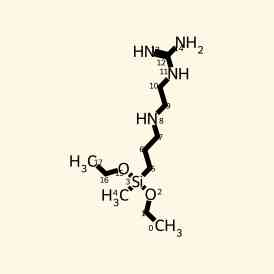 CCO[Si](C)(CCCNCCNC(=N)N)OCC